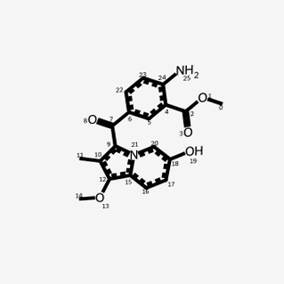 COC(=O)c1cc(C(=O)c2c(C)c(OC)c3ccc(O)cn23)ccc1N